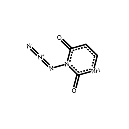 [N-]=[N+]=Nn1c(=O)cc[nH]c1=O